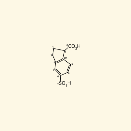 O=C(O)C1CCc2cc(S(=O)(=O)O)ccc21